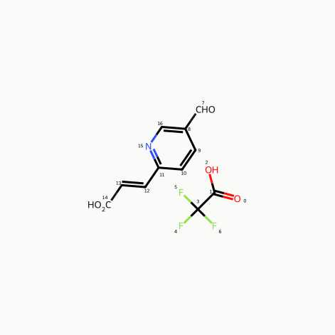 O=C(O)C(F)(F)F.O=Cc1ccc(C=CC(=O)O)nc1